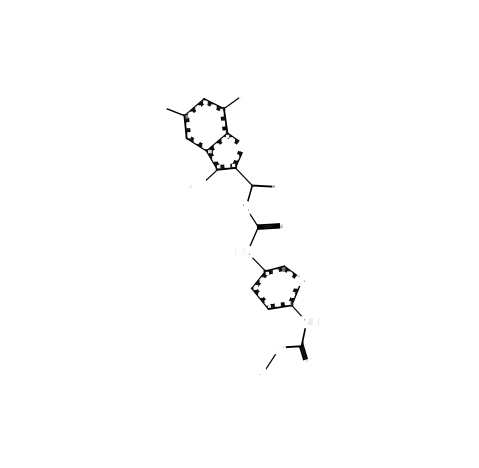 CCCCc1c(C(NC(=O)Nc2ccc(NC(=O)OC(C)(C)C)nc2)C(F)(F)F)oc2c(F)cc(F)cc12